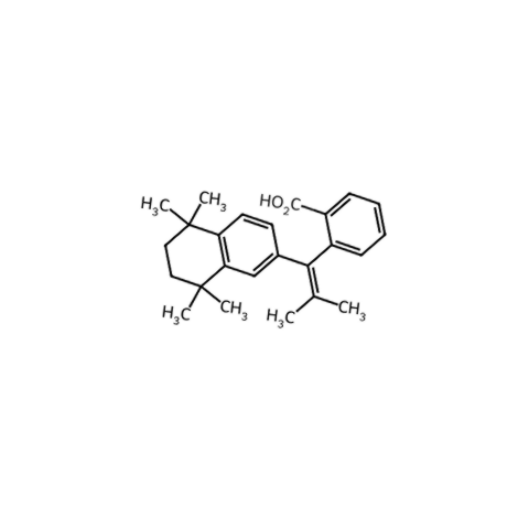 CC(C)=C(c1ccc2c(c1)C(C)(C)CCC2(C)C)c1ccccc1C(=O)O